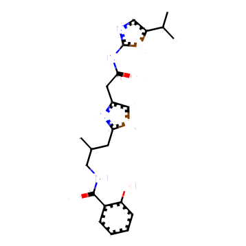 CC(CNC(=O)c1ccccc1O)Cc1nc(CC(=O)Nc2ncc(C(C)C)s2)cs1